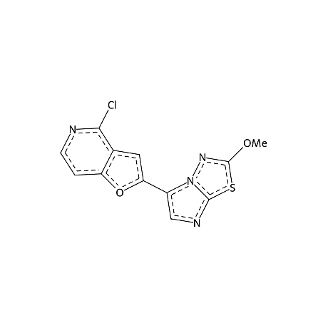 COc1nn2c(-c3cc4c(Cl)nccc4o3)cnc2s1